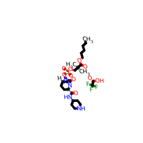 CCCCCCOC(=O)C(C)(C)COS(=O)(=O)ON1C(=O)N2C[C@H]1CC[C@H]2C(=O)NC1CCNCC1.O=C(O)C(F)(F)F